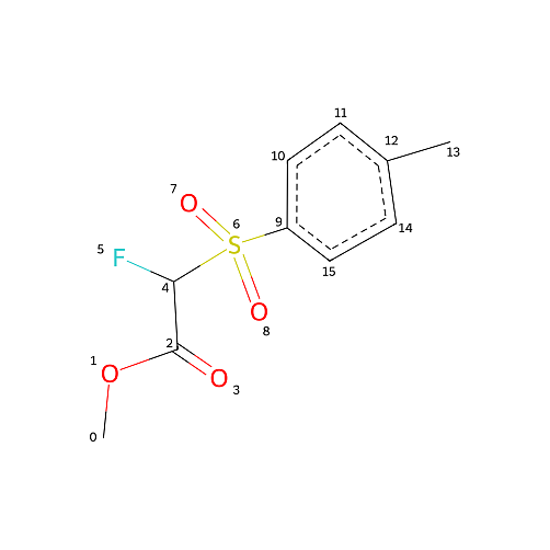 COC(=O)C(F)S(=O)(=O)c1ccc(C)cc1